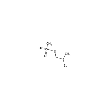 CCC(C)CSS(C)(=O)=O